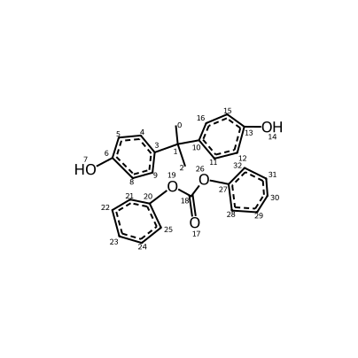 CC(C)(c1ccc(O)cc1)c1ccc(O)cc1.O=C(Oc1ccccc1)Oc1ccccc1